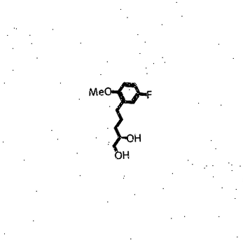 COc1ccc(F)cc1CCC[C@@H](O)CO